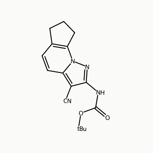 CC(C)(C)OC(=O)Nc1nn2c3c(ccc2c1C#N)CCC3